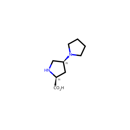 O=C(O)[C@@H]1C[C@H](N2CCCC2)CN1